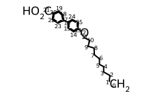 C=CCCCCCCCCCCOc1ccc(-c2ccc(C(=O)O)cc2)cc1